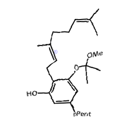 CCCCCc1cc(O)c(C/C=C(\C)CCC=C(C)C)c(OC(C)(C)OC)c1